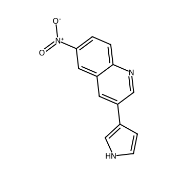 O=[N+]([O-])c1ccc2ncc(-c3cc[nH]c3)cc2c1